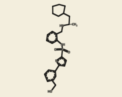 C[C@@H](CC1CCCCC1)NCc1ccccc1NS(=O)(=O)c1ccc(-c2cccc(CO)c2)s1